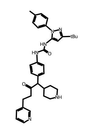 Cc1ccc(-n2nc(C(C)(C)C)cc2NC(=O)Nc2ccc(C(C(=O)CCc3cccnc3)C3CCNCC3)cc2)cc1